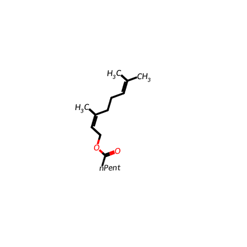 CCCCCC(=O)OCC=C(C)CCC=C(C)C